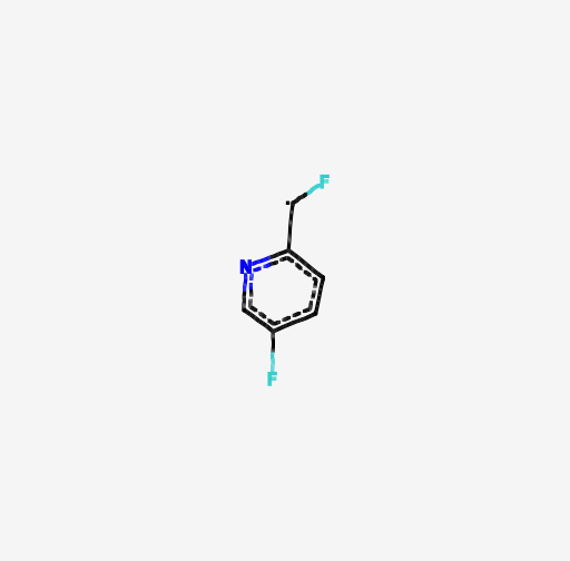 F[CH]c1ccc(F)cn1